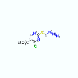 CCOC(=O)c1cnc(SCN=[N+]=[N-])nc1Cl